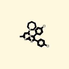 Cc1[c]c(N2CCCCCC2)n2c(-c3ccc(Cl)cc3)c(-c3ccc(Cl)cc3)nc2n1